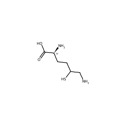 NCC(S)CC[C@H](N)C(=O)O